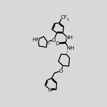 O=C(Nc1cc(C(F)(F)F)ccc1O[C@H]1CCNC1)N[C@H]1CC[C@H](OCc2ccncc2)CC1